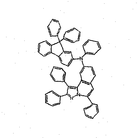 c1ccc(-c2nn3c(-c4ccccc4)cc4ccc(N(c5ccccc5)c5ccc6c(c5)C(c5ccccc5)(c5ccccc5)c5ccccc5-6)cc4c3c2-c2ccccc2)cc1